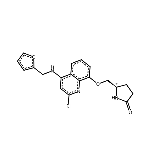 O=C1CC[C@H](COc2cccc3c(NCc4ccco4)cc(Cl)nc23)N1